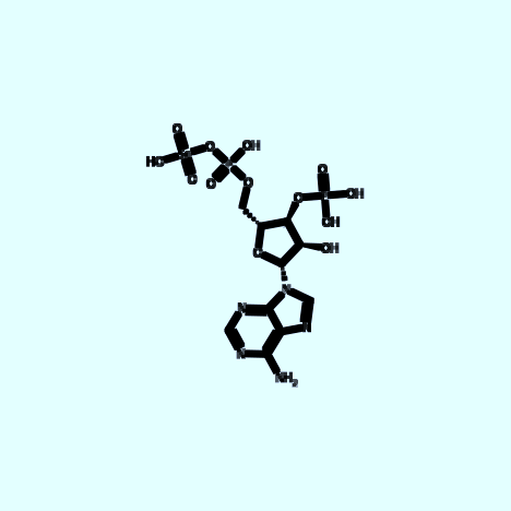 Nc1ncnc2c1ncn2[C@@H]1O[C@H](COP(=O)(O)O[Se](=O)(=O)O)[C@@H](OP(=O)(O)O)[C@H]1O